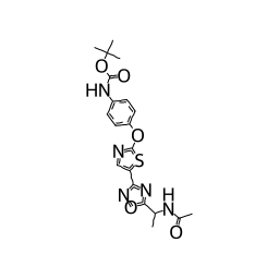 CC(=O)NC(C)c1nc(-c2cnc(Oc3ccc(NC(=O)OC(C)(C)C)cc3)s2)no1